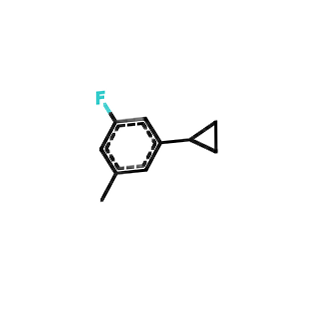 Cc1cc(F)cc(C2CC2)c1